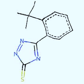 CC(C)(C)c1ccccc1C1=NC(=S)N=N1